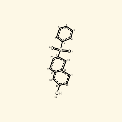 O=S(=O)(c1ccccc1)c1ccc2cc(O)ccc2c1